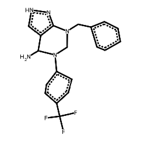 NC1c2c[nH]nc2N(Cc2ccccc2)CN1c1ccc(C(F)(F)F)cc1